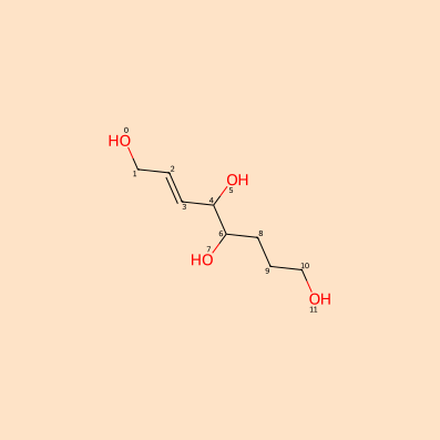 OCC=CC(O)C(O)CCCO